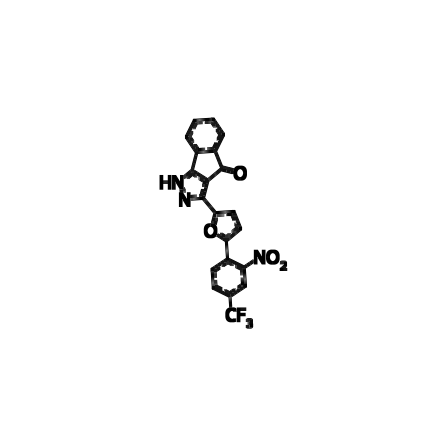 O=C1c2ccccc2-c2[nH]nc(-c3ccc(-c4ccc(C(F)(F)F)cc4[N+](=O)[O-])o3)c21